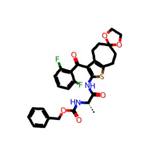 C[C@H](NC(=O)OCc1ccccc1)C(=O)Nc1sc2c(c1C(=O)c1c(F)cccc1F)CCC1(CC2)OCCO1